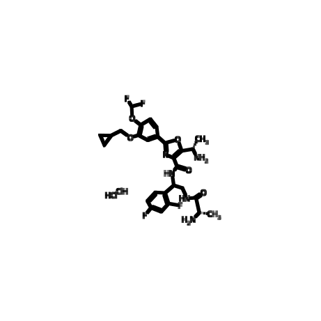 C[C@H](N)C(=O)NCC(NC(=O)c1nc(-c2ccc(OC(F)F)c(OCC3CC3)c2)oc1[C@H](C)N)c1ccc(F)cc1F.Cl.Cl